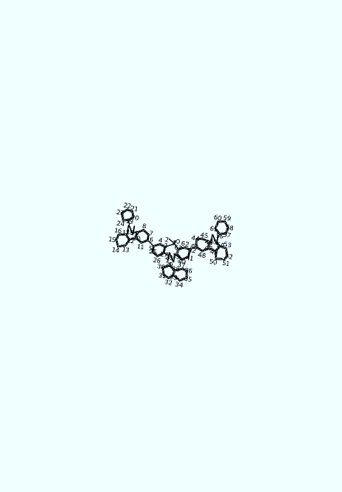 CC1(C)c2cc(-c3ccc4c(c3)c3ccccc3n4-c3ccccc3)ccc2N(c2cccc3ccccc23)c2ccc(-c3ccc4c(c3)c3ccccc3n4-c3ccccc3)cc21